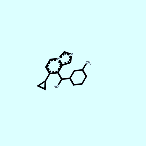 CC1CCCC(C(O)c2c(C3CC3)ccn3cncc23)C1